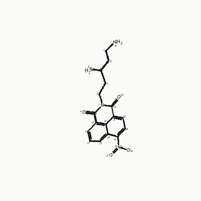 NCCC(N)CCN1C(=O)c2cccc3c([N+](=O)[O-])ccc(c23)C1=O